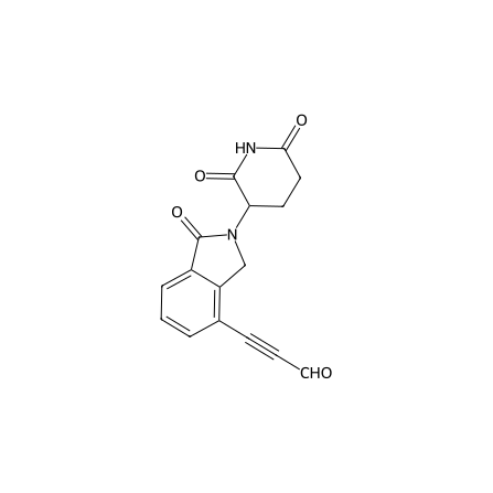 O=CC#Cc1cccc2c1CN(C1CCC(=O)NC1=O)C2=O